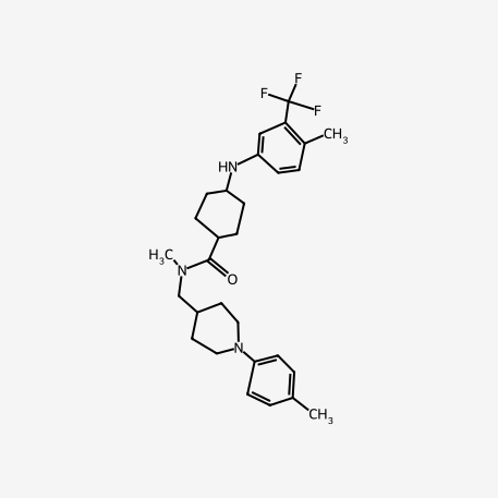 Cc1ccc(N2CCC(CN(C)C(=O)C3CCC(Nc4ccc(C)c(C(F)(F)F)c4)CC3)CC2)cc1